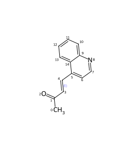 CC(=O)/C=C/c1ccnc2ccccc12